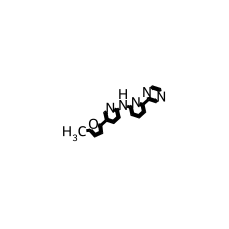 Cc1ccc(-c2ccc(Nc3cccc(-c4cnccn4)n3)nc2)o1